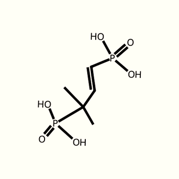 CC(C)(C=CP(=O)(O)O)P(=O)(O)O